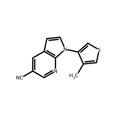 Cc1cscc1-n1ccc2cc(C#N)cnc21